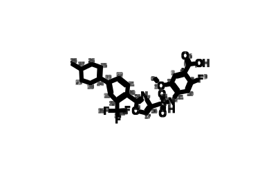 COc1cc(C(=O)O)c(F)cc1NS(=O)(=O)c1coc(-c2ccc(C3=CCC(C)CC3)cc2C(F)(F)F)n1